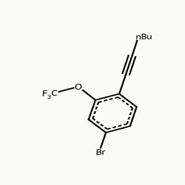 CCCCC#Cc1ccc(Br)cc1OC(F)(F)F